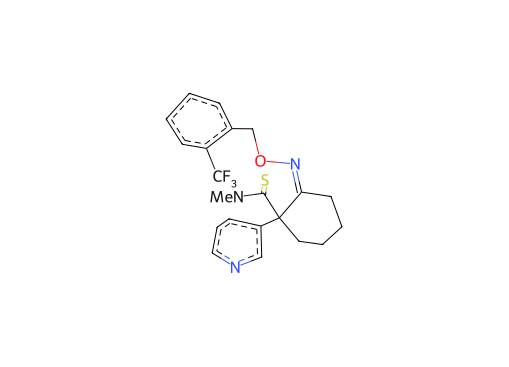 CNC(=S)C1(c2cccnc2)CCCC/C1=N/OCc1ccccc1C(F)(F)F